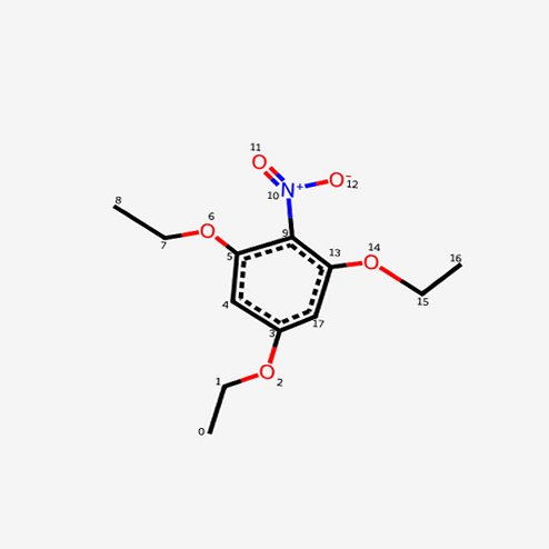 CCOc1cc(OCC)c([N+](=O)[O-])c(OCC)c1